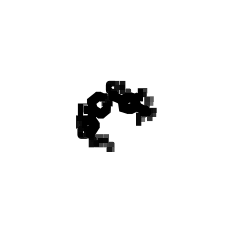 C=C(c1ccc(C(F)(F)F)c(F)c1)N1CCC(F)(c2cc(N)on2)CC1